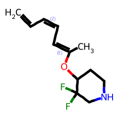 C=C/C=C\C=C(/C)OC1CCNCC1(F)F